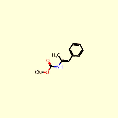 C/C(=C\c1ccccc1)NC(=O)OC(C)(C)C